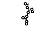 CC1(C)c2ccccc2-c2ccc(N(c3ccc(-c4ccc5c(c4)c4ccccc4n5-c4ccc5ccccc5c4)cc3)c3cccc4ccccc34)cc21